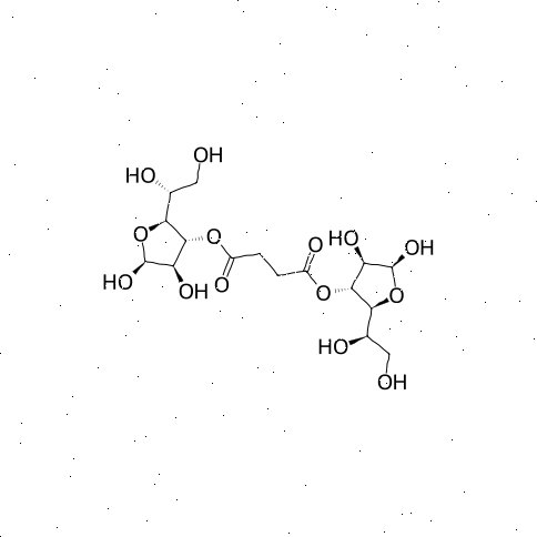 O=C(CCC(=O)O[C@@H]1[C@@H](O)[C@@H](O)O[C@H]1[C@H](O)CO)O[C@@H]1[C@@H](O)[C@@H](O)O[C@H]1[C@H](O)CO